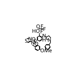 COc1ccc(CN(c2cscn2)S(=O)(=O)c2ccc(NC3CCN(Cc4ccccc4)C3)c(C)c2)cc1.O=C(O)C(F)(F)F